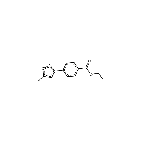 CCOC(=O)c1ccc(-c2cc(C)on2)cc1